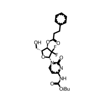 CC(C)COC(=O)Nc1ccn([C@@H]2O[C@H](CO)[C@@H](OC(=O)CCc3ccccc3)C2(F)F)c(=O)n1